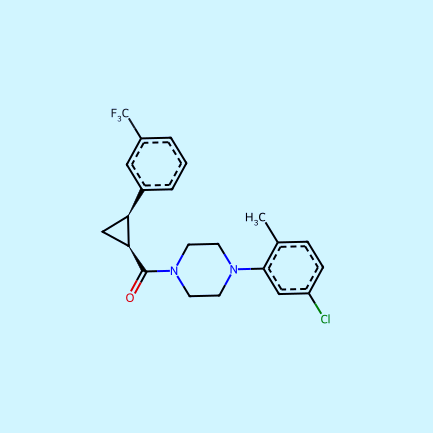 Cc1ccc(Cl)cc1N1CCN(C(=O)[C@H]2C[C@H]2c2cccc(C(F)(F)F)c2)CC1